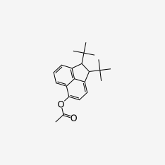 CC(=O)Oc1ccc2c3c(cccc13)C(C(C)(C)C)C2C(C)(C)C